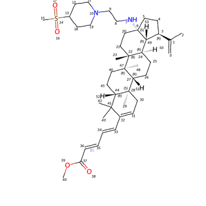 C=C(C)[C@@H]1CC[C@]2(NCCN3CCC(S(C)(=O)=O)CC3)CC[C@]3(C)[C@H](CC[C@@H]4[C@@]5(C)CC=C(C=C/C=C/C(=O)OC)C(C)(C)[C@@H]5CC[C@]43C)[C@@H]12